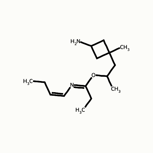 CC/C=C\N=C(/CC)OC(C)CC1(C)CC(N)C1